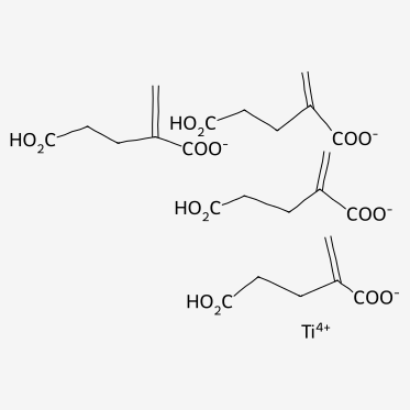 C=C(CCC(=O)O)C(=O)[O-].C=C(CCC(=O)O)C(=O)[O-].C=C(CCC(=O)O)C(=O)[O-].C=C(CCC(=O)O)C(=O)[O-].[Ti+4]